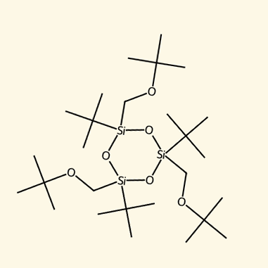 CC(C)(C)OC[Si]1(C(C)(C)C)O[Si](COC(C)(C)C)(C(C)(C)C)O[Si](COC(C)(C)C)(C(C)(C)C)O1